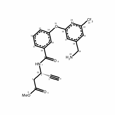 C#C[C@H](CC(=O)OC)NC(=O)c1cccc(Oc2cc(CN)cc(C(F)(F)F)n2)c1